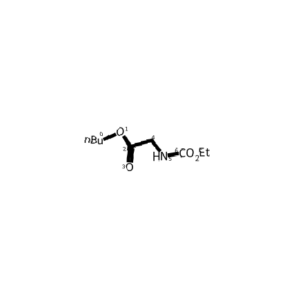 CCCCOC(=O)CNC(=O)OCC